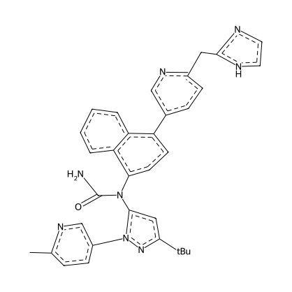 Cc1ccc(-n2nc(C(C)(C)C)cc2N(C(N)=O)c2ccc(-c3ccc(Cc4ncc[nH]4)nc3)c3ccccc23)cn1